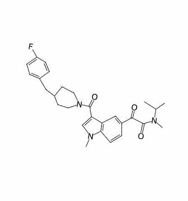 CC(C)N(C)C(=O)C(=O)c1ccc2c(c1)c(C(=O)N1CCC(Cc3ccc(F)cc3)CC1)cn2C